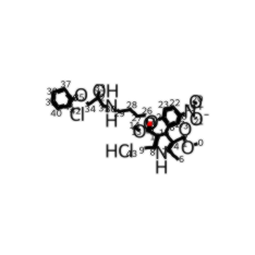 COC(=O)C1=C(C)NC(C)=C(C(=O)OC)C1c1cc([N+](=O)[O-])ccc1OCCCCNCC(O)COc1ccccc1Cl.Cl